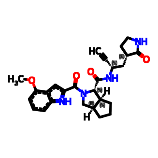 C#C[C@H](C[C@@H]1CCNC1=O)NC(=O)[C@@H]1[C@H]2CCC[C@H]2CN1C(=O)c1cc2c(OC)cccc2[nH]1